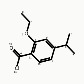 CCOc1cc(C(C)C)ccc1C(=O)Cl